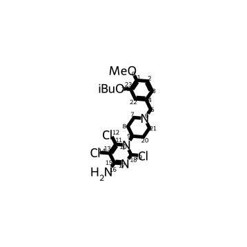 COc1ccc(CN2CCC(N3C(Cl)=C(Cl)C(N)=NC3Cl)CC2)cc1OCC(C)C